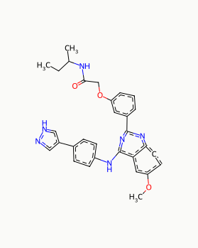 CCC(C)NC(=O)COc1cccc(-c2nc(Nc3ccc(-c4cn[nH]c4)cc3)c3cc(OC)ccc3n2)c1